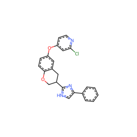 Clc1cc(Oc2ccc3c(c2)CC(c2nc(-c4ccccc4)c[nH]2)CO3)ccn1